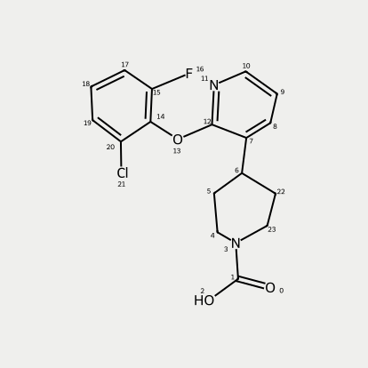 O=C(O)N1CCC(c2cccnc2Oc2c(F)cccc2Cl)CC1